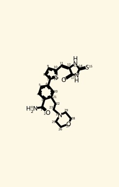 NC(=O)c1ccc(-c2ccc(C=C3NC(=S)NC3=O)s2)cc1CCN1CCOCC1